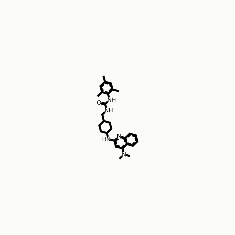 Cc1cc(C)c(NC(=O)NCC2CCC(Nc3cc(N(C)C)c4ccccc4n3)CC2)c(C)c1